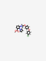 COC(=O)c1cccc(N2CC(Oc3ccc(Oc4ccc(Cl)cc4)cc3)C2)c1-n1cccc1